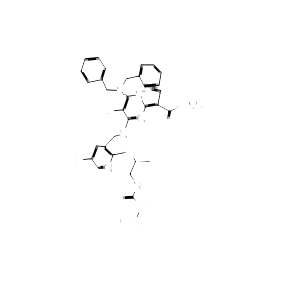 COC(=O)c1cnn2c(N(Cc3ccccc3)Cc3ccccc3)c(Br)c(NCc3cc(F)cnc3O[C@@H](C)CNC(=O)OC(C)(C)C)nc12